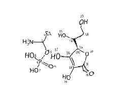 CCC(N)OP(=O)(O)O.O=C1O[C@H](C(O)CO)C(O)=C1O